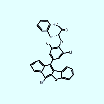 O=C(O)[C@@H](Cc1ccccc1)Oc1c(Cl)cc(-c2c3ccccc3c(Br)c3sc4ccccc4c23)cc1Cl